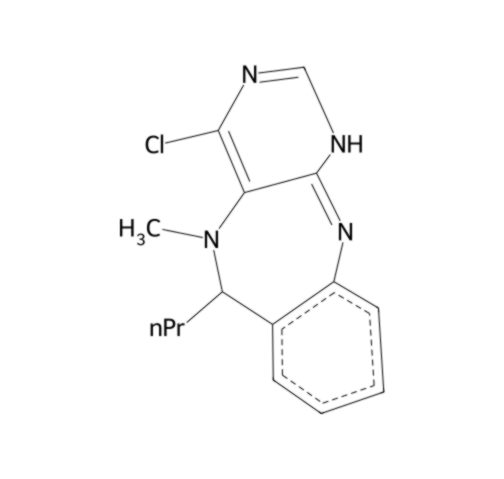 CCCC1c2ccccc2N=C2NC=NC(Cl)=C2N1C